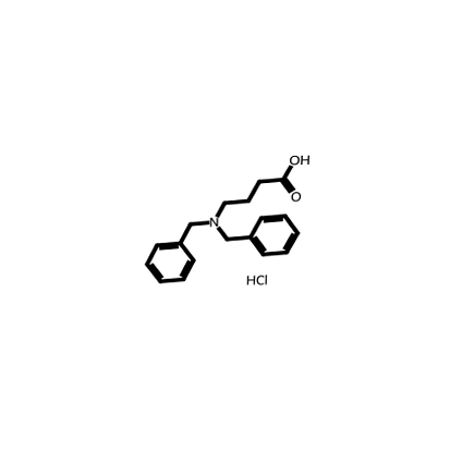 Cl.O=C(O)CCCN(Cc1ccccc1)Cc1ccccc1